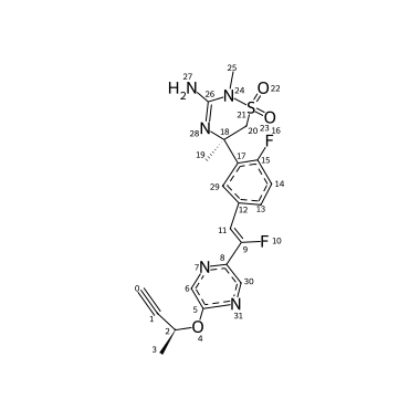 C#C[C@H](C)Oc1cnc(/C(F)=C/c2ccc(F)c([C@]3(C)CS(=O)(=O)N(C)C(N)=N3)c2)cn1